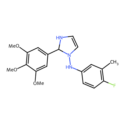 COc1cc(C2NC=CN2Nc2ccc(F)c(C)c2)cc(OC)c1OC